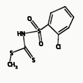 CSC(=S)NS(=O)(=O)c1ccccc1Cl